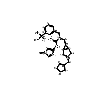 Cn1cnc(OC(=O)N(Cc2cccc(C(F)(F)F)c2)CC2C3CN(CC4CCCC4)CC32)c1